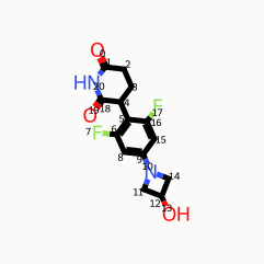 O=C1CCC(c2c(F)cc(N3CC(O)C3)cc2F)C(=O)N1